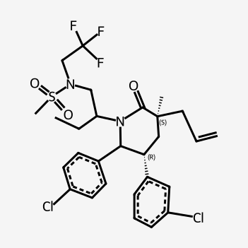 C=CC[C@@]1(C)C[C@H](c2cccc(Cl)c2)C(c2ccc(Cl)cc2)N(C(CC)CN(CC(F)(F)F)S(C)(=O)=O)C1=O